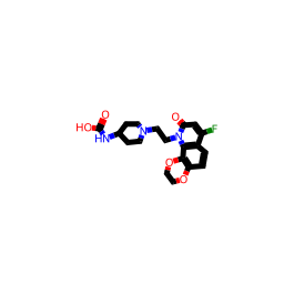 O=C(O)NC1CCN(CCn2c(=O)cc(F)c3ccc4c(c32)OCCO4)CC1